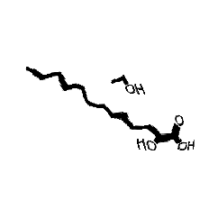 CCCCCCCCCCCCC(O)C(=O)O.CCO